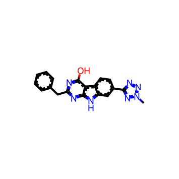 Cn1nnc(-c2ccc3c(c2)[nH]c2nc(Cc4ccccc4)nc(O)c23)n1